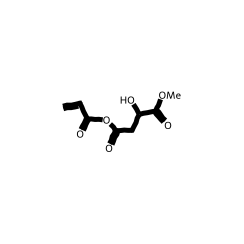 C=CC(=O)OC(=O)CC(O)C(=O)OC